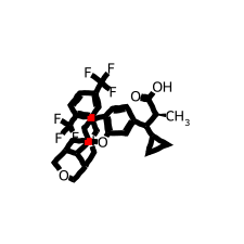 C[C@H](C(=O)O)C(c1ccc2c(c1)OC(C1C3COCC1CN(Cc1cc(C(F)(F)F)ccc1C(F)(F)F)C3)CC2)C1CC1